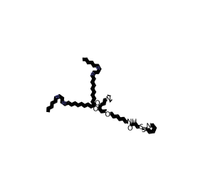 CCCCC/C=C\C/C=C\CCCCCCCCC1(CCCCCCCC/C=C\C/C=C\CCCCC)OC(CCOCCCCCCNC(=O)CCSSc2ccccn2)C(CCN(C)C)O1